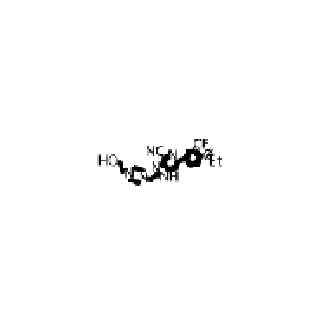 CCOc1ccc(-c2cc3[nH]c(CN4CCN(CCO)CC4)nc3c(C#N)n2)cc1C(F)(F)F